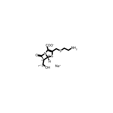 C[C@@H](O)[C@H]1C(=O)N2C(C(=O)[O-])=C(CSCCN)S[C@H]12.[Na+]